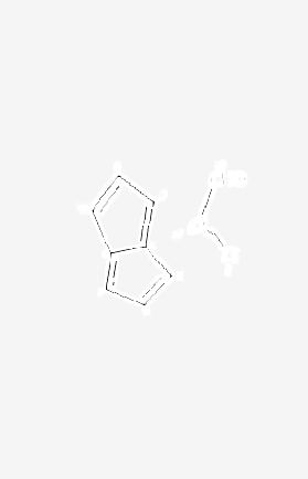 C1=CC2=CC=CC2=C1.CCOC=O